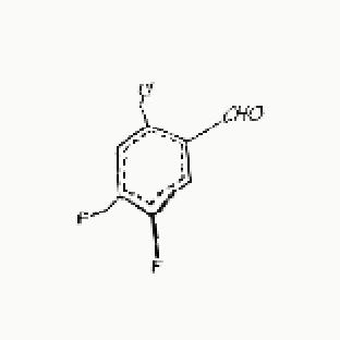 O=[C]c1cc(F)c(F)cc1Cl